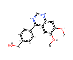 COc1cc2ncnc(-c3ccc(CO)cc3)c2cc1OC